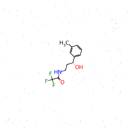 Cc1cccc([C@H](O)CCNC(=O)C(F)(F)F)c1